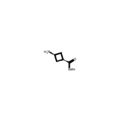 CNC(=O)[C@H]1C[C@@H](N)C1